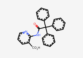 O=C(O)c1cccnc1NC(=O)C(c1ccccc1)(c1ccccc1)c1ccccc1